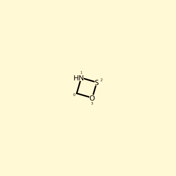 C1NSO1